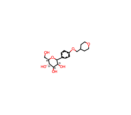 OC[C@H]1OC(c2ccc(OCC3CCOCC3)cc2)[C@@H](O)[C@@H](O)[C@@H]1O